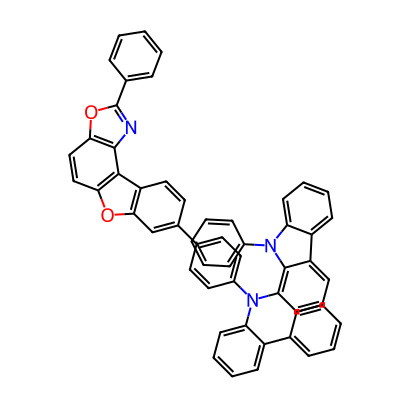 c1ccc(-c2nc3c(ccc4oc5cc(-c6ccc(N(c7ccccc7-c7ccccc7)c7cccc8c9ccccc9n(-c9ccccc9)c78)cc6)ccc5c43)o2)cc1